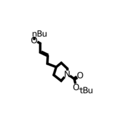 CCCCOC/C=C/CC1CCN(C(=O)OC(C)(C)C)CC1